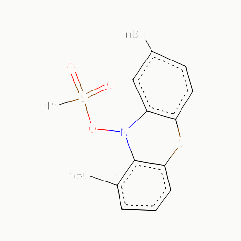 CCCCc1ccc2c(c1)N(OS(=O)(=O)CCC)c1c(CCCC)cccc1S2